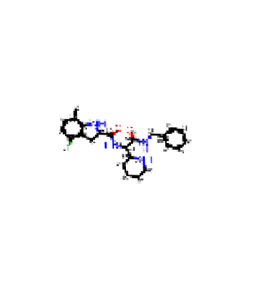 Cc1ccc(F)c2c1NC(C(=O)NC(C(=O)NCc1ccccc1)C1CCCCN1)C2